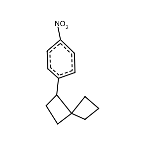 O=[N+]([O-])c1ccc(C2CCC23CCC3)cc1